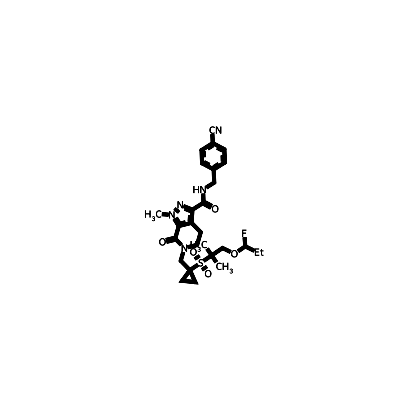 CCC(F)OCC(C)(C)S(=O)(=O)C1(CN2CCc3c(C(=O)NCc4ccc(C#N)cc4)nn(C)c3C2=O)CC1